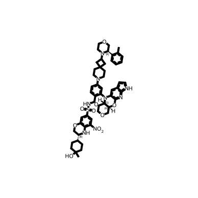 Cc1ccccc1[C@@H]1COCCN1C1CC2(CCN(c3ccc(C(=O)NS(=O)(=O)c4cc5c(c([N+](=O)[O-])c4)N[C@H](C4CCC(C)(O)CC4)CO5)c(N4c5cc6cc[nH]c6nc5O[C@H]5COCC[C@@H]54)c3)CC2)C1